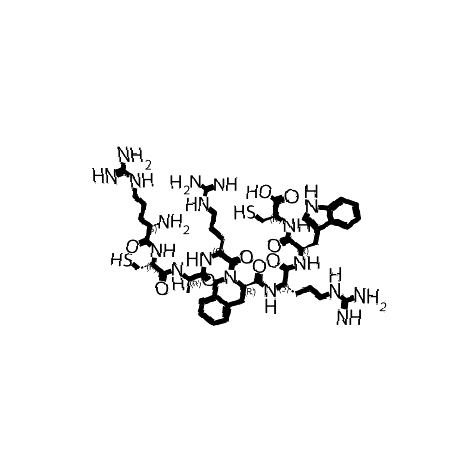 C[C@@H](NC(=O)[C@H](CS)NC(=O)[C@@H](N)CCCNC(=N)N)C(=O)N[C@@H](CCCNC(=N)N)C(=O)N1Cc2ccccc2C[C@@H]1C(=O)N[C@@H](CCCNC(=N)N)C(=O)N[C@H](Cc1c[nH]c2ccccc12)C(=O)N[C@@H](CS)C(=O)O